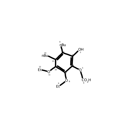 CCCCc1c(O)c(OC(=O)O)c(OCC)c(OCC)c1CCCC